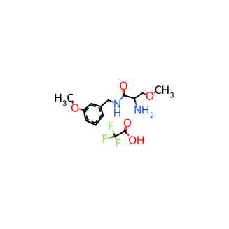 COCC(N)C(=O)NCc1cccc(OC)c1.O=C(O)C(F)(F)F